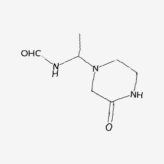 CC(NC=O)N1CCNC(=O)C1